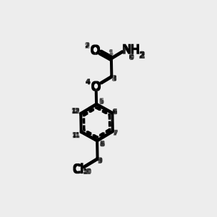 NC(=O)COc1ccc(CCl)cc1